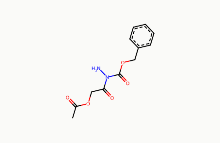 CC(=O)OCC(=O)N(N)C(=O)OCc1ccccc1